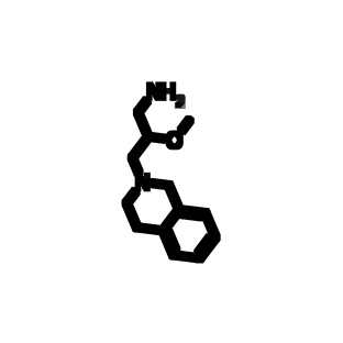 COC(CN)CN1CCc2ccccc2C1